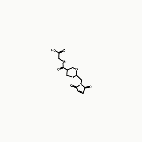 O=C(O)CNC(=O)C1COC(CN2C(=O)C=CC2=O)OC1